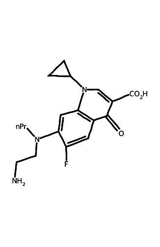 CCCN(CCN)c1cc2c(cc1F)c(=O)c(C(=O)O)cn2C1CC1